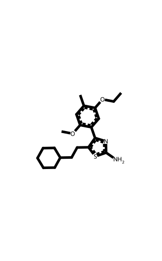 CCOc1cc(-c2nc(N)sc2CCC2CCCCC2)c(OC)cc1C